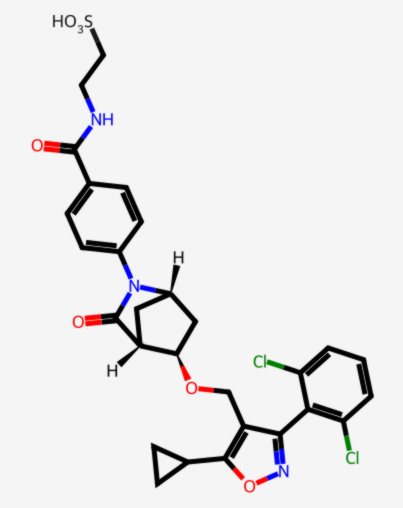 O=C(NCCS(=O)(=O)O)c1ccc(N2C(=O)[C@@H]3C[C@H]2C[C@H]3OCc2c(-c3c(Cl)cccc3Cl)noc2C2CC2)cc1